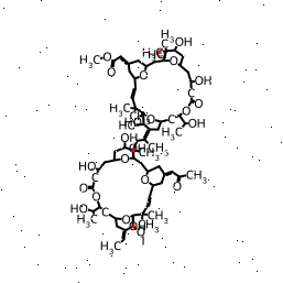 C/C=C1\CC2CC(C(C)O)OC(=O)CC(O)CC3CC(O)C(C)(C/C(C)=C4/CC5CC(C(C)O)OC(=O)CC(O)CC6CC(O)C(C)(C)C(O)(CC7C/C(=C/C(=O)OC)CC(/C=C/C(C)(C)C(O)(O5)C4O)O7)O6)C(O)(CC4C/C(=C/C(C)=O)CC(/C=C/C(C)(C)C(O)(O2)C1OI)O4)O3